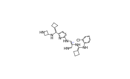 N=C/C(=C\Nc1nc(C(NC2CNC2)=C2CCC2)cs1)NC(Nc1ccccc1Cl)=C1CCC1